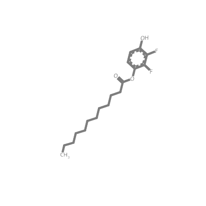 CCCCCCCCCCCC(=O)Oc1ccc(O)c(F)c1F